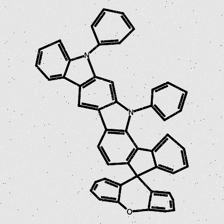 c1ccc(-n2c3ccccc3c3cc4c5ccc6c(c5n(-c5ccccc5)c4cc32)-c2ccccc2C62c3ccccc3Oc3ccccc32)cc1